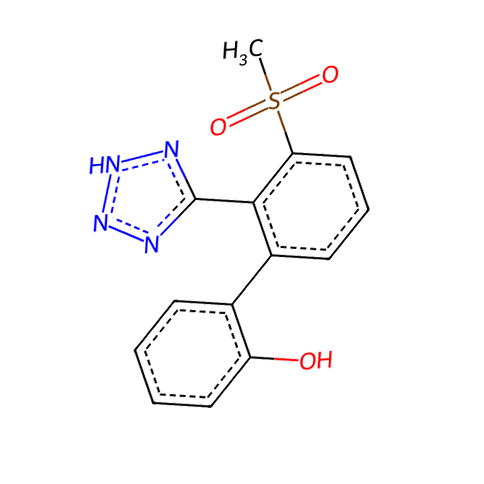 CS(=O)(=O)c1cccc(-c2ccccc2O)c1-c1nn[nH]n1